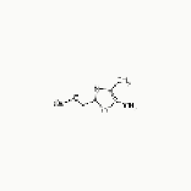 Cc1nc(COC(C)(C)C)oc1C